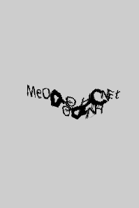 CCN1CC[C@@H]2c3cc(S(=O)(=O)c4ccc(OC)cc4)ccc3N(C)[C@@H]2CC1